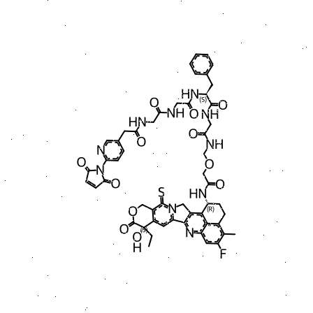 CC[C@@]1(O)C(=O)OCc2c1cc1n(c2=S)Cc2c-1nc1cc(F)c(C)c3c1c2[C@H](NC(=O)COCNC(=O)CNC(=O)[C@H](Cc1ccccc1)NC(=O)CNC(=O)CNC(=O)Cc1ccc(N2C(=O)C=CC2=O)nc1)CC3